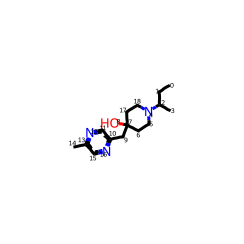 CCC(C)N1CCC(O)(Cc2cnc(C)cn2)CC1